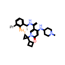 C=C(N[C@H](C)c1cccc(C(C)C)c1P)c1cn(C2(C3CCC3)CC2)c(=O)cc1NC1CCN(C)CC1